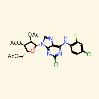 CC(=O)OC[C@H]1O[C@@H](n2cnc3c(Nc4ccc(Cl)cc4F)nc(Cl)nc32)[C@H](OC(C)=O)[C@@H]1OC(C)=O